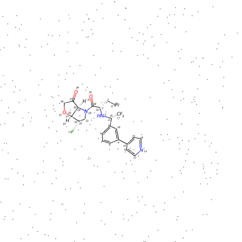 CC(C)C[C@H](N[C@@H](c1cccc(-c2ccncc2)c1)C(F)(F)F)C(=O)N1C[C@H](F)[C@H]2OCC(=O)[C@H]21